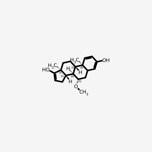 CO[C@H]1CC2C=C(O)C=C[C@]2(C)[C@H]2CC[C@]3(C)C(O)=CC[C@H]3[C@H]12